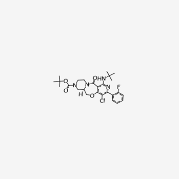 CC(C)(C)Nc1nc(-c2ccccc2F)c(Cl)c2c1C(=O)N1CCN(C(=O)OC(C)(C)C)C[C@@H]1CO2